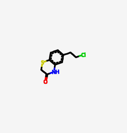 O=C1CSc2ccc(CCCl)cc2N1